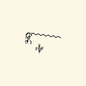 CCCCCCCCCCCCn1cc[n+]2c1P2(=O)CC.F[B-](F)(F)F